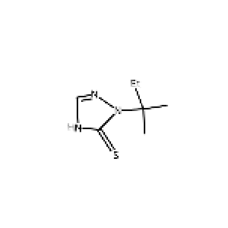 CCC(C)(C)n1nc[nH]c1=S